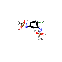 CS(=O)(=O)Nc1ccc(Cl)c(NS(C)(=O)=O)c1